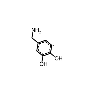 NCc1c[c]c(O)c(O)c1